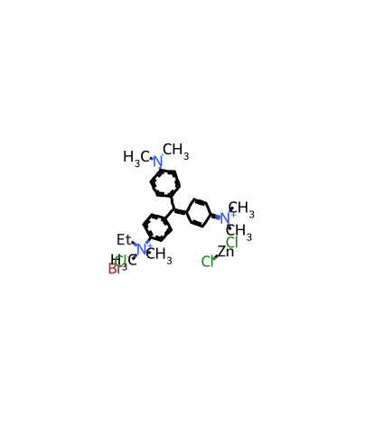 CC[N+](C)(C)c1ccc(C(=C2C=CC(=[N+](C)C)C=C2)c2ccc(N(C)C)cc2)cc1.[Br-].[Cl-].[Cl][Zn][Cl]